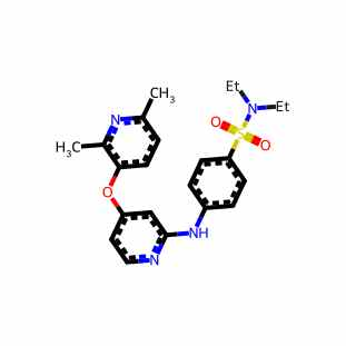 CCN(CC)S(=O)(=O)c1ccc(Nc2cc(Oc3ccc(C)nc3C)ccn2)cc1